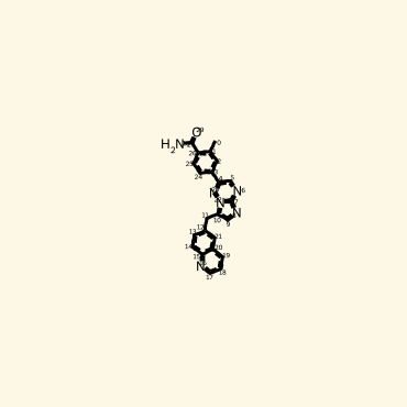 Cc1cc(-c2cnc3ncc(Cc4ccc5ncccc5c4)n3n2)ccc1C(N)=O